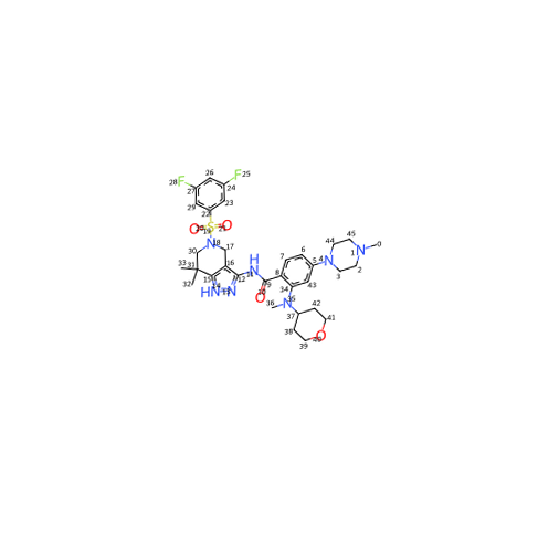 CN1CCN(c2ccc(C(=O)Nc3n[nH]c4c3CN(S(=O)(=O)c3cc(F)cc(F)c3)CC4(C)C)c(N(C)C3CCOCC3)c2)CC1